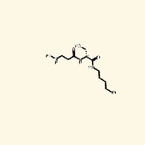 CC(C)CCCCNC(=O)[C@@H](CO)NC(=O)CCNC(C)C